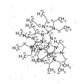 CCN(CC)P(=NP(=O)(N=P(N(CC)CC)(N(CC)CC)N(CC)CC)N=P(N(CC)CC)(N(CC)CC)N(CC)CC)(N(CC)CC)N(CC)CC